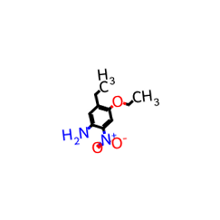 CCOc1cc([N+](=O)[O-])c(N)cc1CC